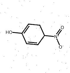 O=[N+]([O-])C1C=CC(O)=CC1